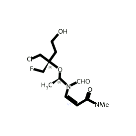 CNC(=O)/C=C\N(C=O)[C@@H](C)O[C@](CF)(CCl)CCO